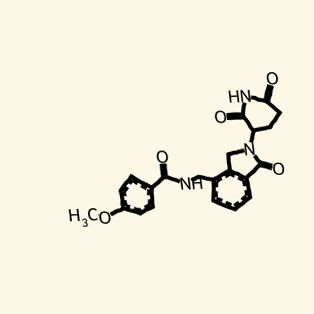 COc1ccc(C(=O)NCc2cccc3c2CN(C2CCC(=O)NC2=O)C3=O)cc1